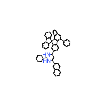 C1=CCC(C2NC(c3ccc4ccccc4c3)=CC(c3ccc4c(c3)C3(c5ccccc5-c5ccccc53)c3c-4c(-c4ccccc4)cc4ccccc34)N2)CC1